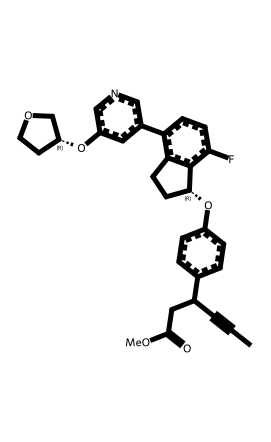 CC#CC(CC(=O)OC)c1ccc(O[C@@H]2CCc3c(-c4cncc(O[C@@H]5CCOC5)c4)ccc(F)c32)cc1